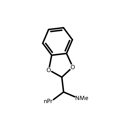 CCCC(NC)C1Oc2ccccc2O1